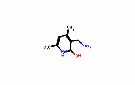 CC1=CC(C)=C(CN)C(O)N1